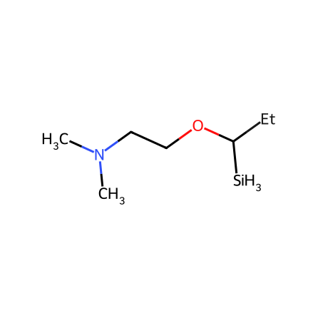 [CH2]CC([SiH3])OCCN(C)C